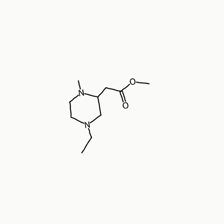 CCN1CCN(C)C(CC(=O)OC)C1